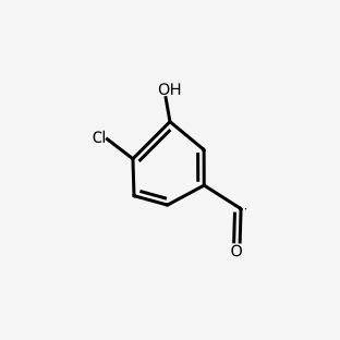 O=[C]c1ccc(Cl)c(O)c1